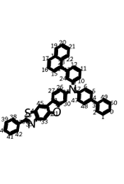 c1ccc(-c2ccc(N(c3cccc(-c4cccc5ccccc45)c3)c3ccc4c(c3)oc3cc5nc(-c6ccccc6)sc5cc34)cc2)cc1